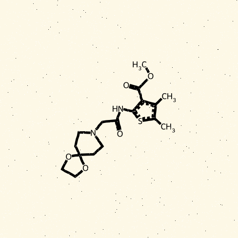 COC(=O)c1c(NC(=O)CN2CCC3(CC2)OCCO3)sc(C)c1C